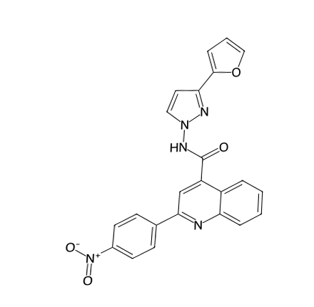 O=C(Nn1ccc(-c2ccco2)n1)c1cc(-c2ccc([N+](=O)[O-])cc2)nc2ccccc12